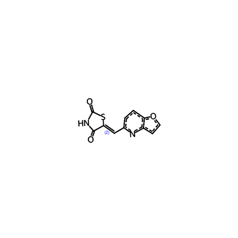 O=C1NC(=O)/C(=C/c2ccc3occc3n2)S1